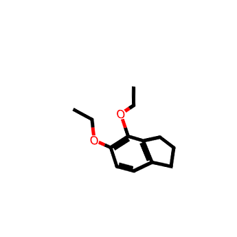 CCOc1ccc2c(c1OCC)CCC2